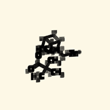 CC(C)(C)C(=O)[O-].CC1(C)C2CC=C([CH2][Zn+])C1C2